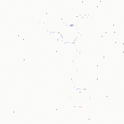 CCCCCCNc1nc(NC)nc(NCCCN2CCOCC2)n1